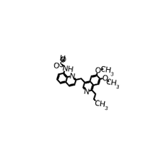 CCCc1ncc(Cc2ccc3cccc(N[SH](=O)=O)c3n2)c2cc(OC)c(OC)cc12